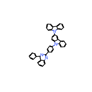 c1ccc(-c2nc(-c3ccc(-n4c5ccccc5c5cc(-n6c7ccccc7c7ccccc76)ccc54)cc3)nc3ccccc23)cc1